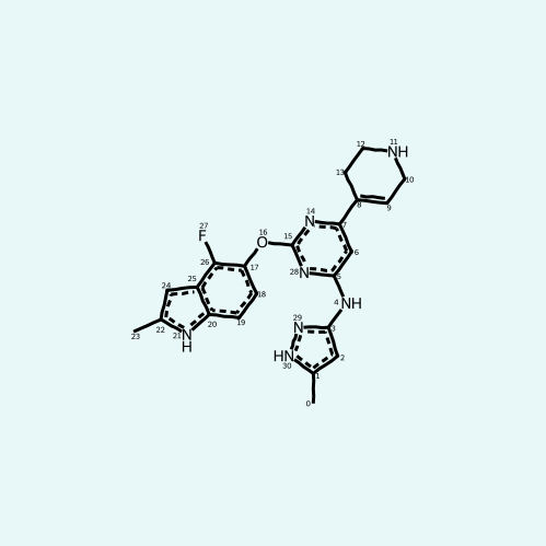 Cc1cc(Nc2cc(C3=CCNCC3)nc(Oc3ccc4[nH]c(C)cc4c3F)n2)n[nH]1